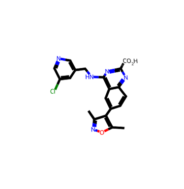 Cc1noc(C)c1-c1ccc2nc(C(=O)O)nc(NCc3cncc(Cl)c3)c2c1